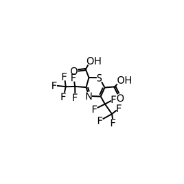 O=C(O)C1=C(C(F)(F)C(F)(F)F)N=C(C(F)(F)C(F)(F)F)C(C(=O)O)S1